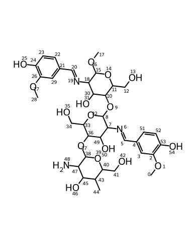 COc1cc(/C=N/C2C(OC3C(CO)OC(OC)C(/N=C/c4ccc(O)c(OC)c4)C3O)OC(CO)C(OC3OC(CO)C(C)C(O)C3N)C2O)ccc1O